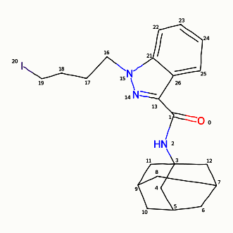 O=C(NC12CC3CC(CC(C3)C1)C2)c1nn(CCCCI)c2ccccc12